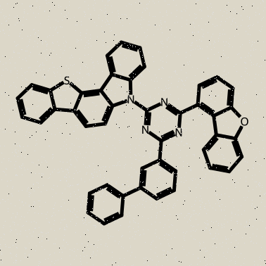 c1ccc(-c2cccc(-c3nc(-c4cccc5oc6ccccc6c45)nc(-n4c5ccccc5c5c6sc7ccccc7c6ccc54)n3)c2)cc1